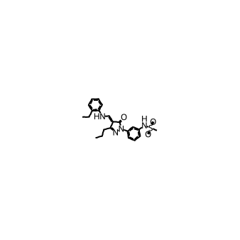 CCCC1=NN(c2cccc(NS(C)(=O)=O)c2)C(=O)/C1=C/Nc1ccccc1CC